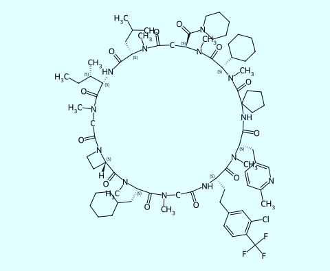 CC[C@H](C)[C@@H]1NC(=O)[C@H](CC(C)C)N(C)C(=O)C[C@@H](C(=O)N2CCCCC2)N(C)C(=O)[C@H](C2CCCCC2)N(C)C(=O)C2(CCCC2)NC(=O)[C@H](Cc2ccc(C)nc2)N(C)C(=O)[C@H](CCc2ccc(C(F)(F)F)c(Cl)c2)NC(=O)CN(C)C(=O)[C@H](CC2CCCCC2)N(C)C(=O)[C@@H]2CCN2C(=O)CN(C)C1=O